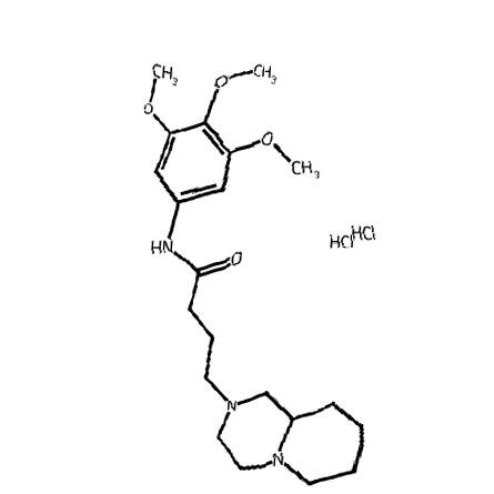 COc1cc(NC(=O)CCCN2CCN3CCCCC3C2)cc(OC)c1OC.Cl.Cl